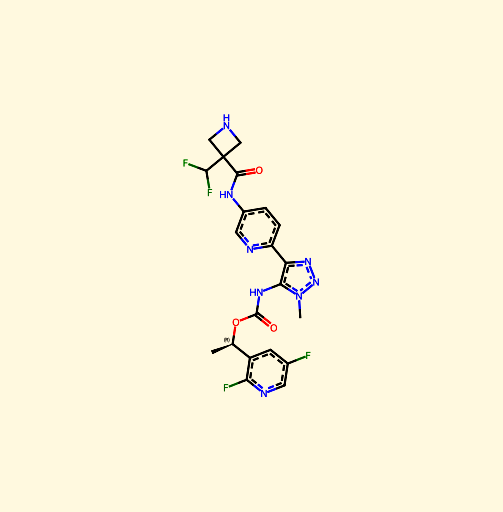 C[C@@H](OC(=O)Nc1c(-c2ccc(NC(=O)C3(C(F)F)CNC3)cn2)nnn1C)c1cc(F)cnc1F